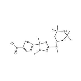 CN(C1=NN(F)C(C)(c2ccc(C(=O)O)cc2)S1)C1CC(C)(C)NC(C)(C)C1